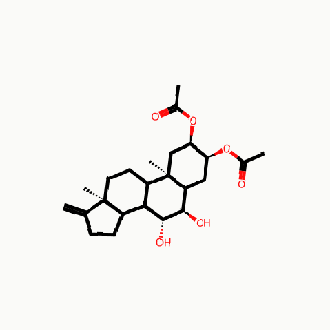 C=C1CCC2C3C(CC[C@]12C)[C@@]1(C)C[C@@H](OC(C)=O)[C@@H](OC(C)=O)CC1[C@@H](O)[C@@H]3O